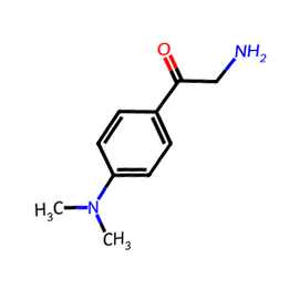 CN(C)c1ccc(C(=O)CN)cc1